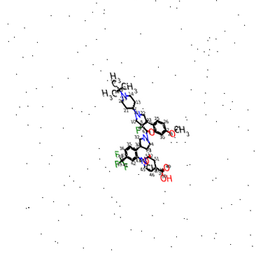 COC[C@H]1CN(C(=O)[C@]2(F)CN(C3CCN(C(C)(C)C)CC3)C[C@H]2c2ccc(OC)cc2)C[C@@H]1c1ccc(C(F)(F)F)cc1N1CCC(C(=O)O)CC1